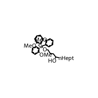 CCCCCCCC(O)CCCO[Si](c1ccccc1OC)(c1ccccc1OC)c1ccccc1OC